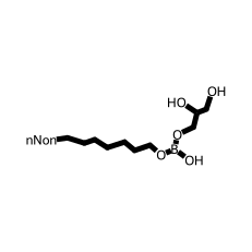 CCCCCCCCCCCCCCCCOB(O)OCC(O)CO